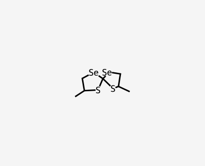 CC1C[Se]C2(S1)SC(C)C[Se]2